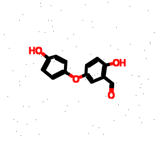 O=Cc1cc(Oc2ccc(O)cc2)ccc1O